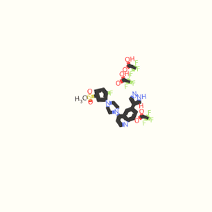 CS(=O)(=O)c1ccc(F)c(N2CCN(c3ccnc4ccc(-c5cn[nH]c5)cc34)CC2)c1.O=C(O)C(F)(F)F.O=C(O)C(F)(F)F.O=C(O)C(F)(F)F